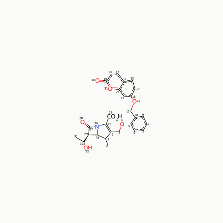 CC1C(COc2ccccc2COc2ccc3ccc(=O)oc3c2)=C(C(=O)O)N2C(=O)[C@H](C(C)O)C12